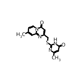 Cc1ccn2c(=O)cc(CSc3nc(C)cc(=O)[nH]3)nc2c1